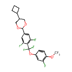 Fc1cc(OC(F)(F)c2c(F)cc(C3OCC(C4CCC4)CO3)cc2F)ccc1OC(F)(F)F